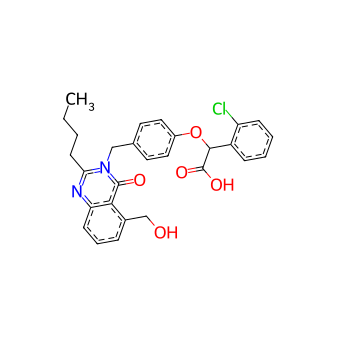 CCCCc1nc2cccc(CO)c2c(=O)n1Cc1ccc(OC(C(=O)O)c2ccccc2Cl)cc1